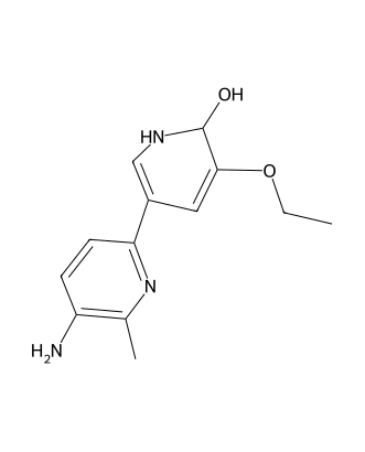 CCOC1=CC(c2ccc(N)c(C)n2)=CNC1O